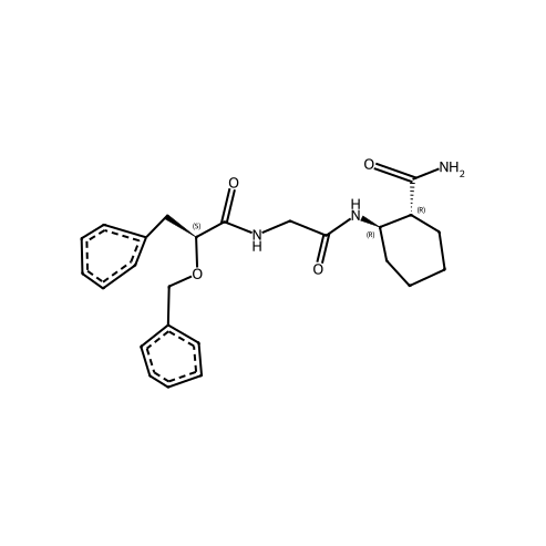 NC(=O)[C@@H]1CCCC[C@H]1NC(=O)CNC(=O)[C@H](Cc1ccccc1)OCc1ccccc1